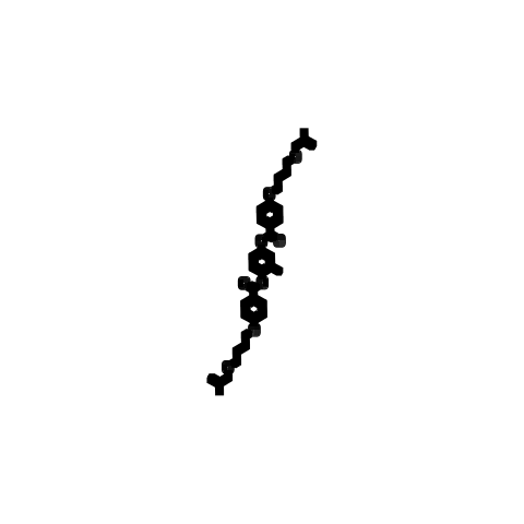 C=C(C)COCCCCOc1ccc(C(=O)Oc2ccc(OC(=O)c3ccc(OCCCCOCC(=C)C)cc3)c(C)c2)cc1